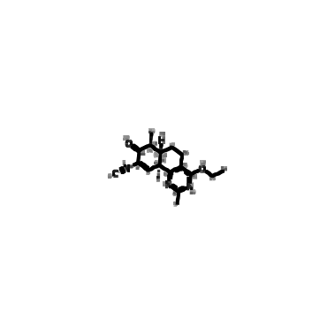 [C-]#[N+]C1=C[C@]2(C)c3nc(C)nc(OCC)c3CC[C@H]2[C@H](C)C1=O